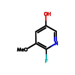 COc1cc(O)cnc1F